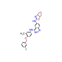 Cc1cc(Nc2ncnc3ccc(NC4=NC5COCC5O4)cc23)ccc1OCc1cccc(F)c1